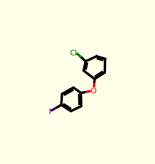 Clc1[c]ccc(Oc2ccc(I)cc2)c1